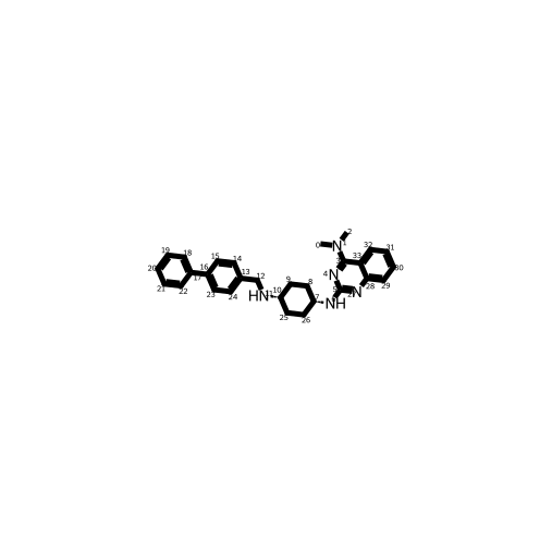 CN(C)c1nc(N[C@H]2CC[C@@H](NCc3ccc(-c4ccccc4)cc3)CC2)nc2ccccc12